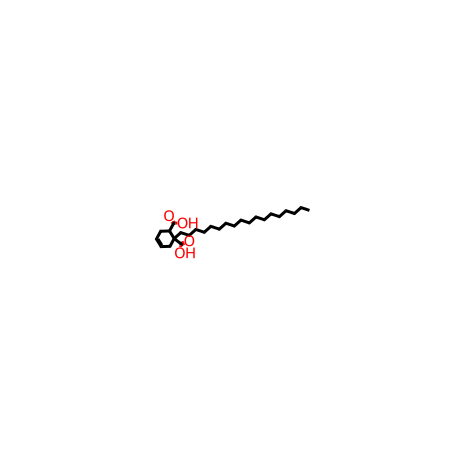 CCCCCCCCCCCCCCCCCCC1(C(=O)O)CC=CCC1C(=O)O